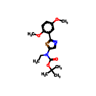 CCN(C(=O)OC(C)(C)C)c1cnc(-c2cc(OC)ccc2OC)s1